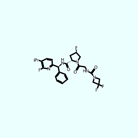 CC(C)c1ccc([C@@H](NC(=O)[C@@H]2C[C@@H](F)CN2C(=O)CNC(=O)N2CC(F)(F)C2)c2ccccc2)nc1F